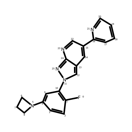 Fc1ccc(N2CCC2)cc1-n1cc2cc(-c3ccccn3)cnc2n1